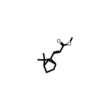 COC(=O)C=CC1C2CCC(C2)C1(C)C